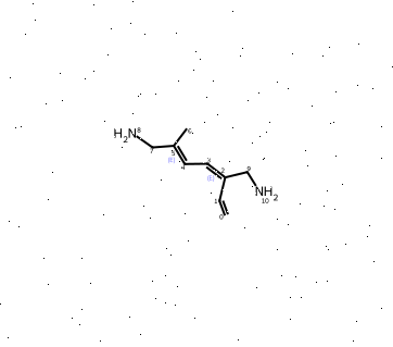 C=C/C(=C\C=C(/C)CN)CN